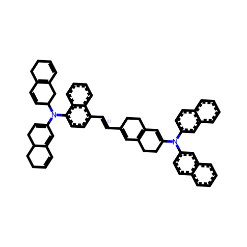 C1=CC2=C(C=CC(N(C3=CCC4CCC=CC4=C3)c3ccc(/C=C/C4=CC5=C(C=C(N(c6ccc7ccccc7c6)c6ccc7ccccc7c6)CC5)CC4)c4ccccc34)C2)CC1